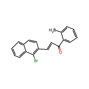 Bc1ccccc1C(=O)/C=C/c1ccc2ccccc2c1Br